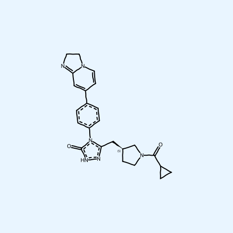 O=C(C1CC1)N1CC[C@@H](Cc2n[nH]c(=O)n2-c2ccc(C3=CC4=NCCN4C=C3)cc2)C1